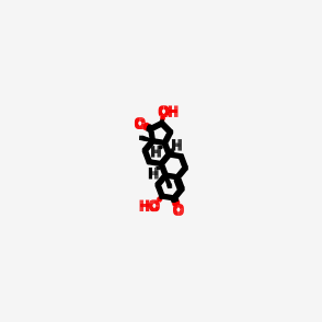 C[C@]12C[C@H](O)C(=O)C=C1CC[C@@H]1[C@@H]2CC[C@]2(C)C(=O)[C@@H](O)C[C@@H]12